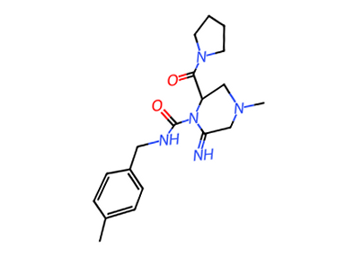 Cc1ccc(CNC(=O)N2C(=N)CN(C)CC2C(=O)N2CCCC2)cc1